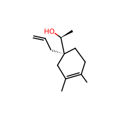 C=CC[C@]1([C@H](C)O)CCC(C)=C(C)C1